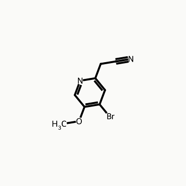 COc1cnc(CC#N)cc1Br